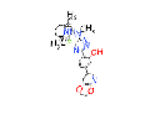 CN(c1cnc(-c2ccc(-c3cnc4c(c3)OCCO4)cc2O)nn1)[C@H]1C[C@]2(C)CCC[C@@](C)(N2)[C@H]1F